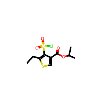 CCc1scc(C(=O)OC(C)C)c1S(=O)(=O)Cl